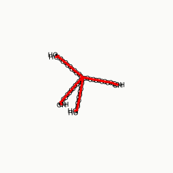 OCC(O)CSCCOCCOCCOCCOCCOCCOCCOCCOCCOCCOCC(COCCOCCOCCOCCOCCOCCOCCOCCOCCOCCSCC(O)CO)(COCCOCCOCCOCCOCCOCCOCCOCCOCCOCCSCC(O)CO)COCCOCCOCCOCCOCCOCCOCCOCCOCCOCCSCC(O)CO